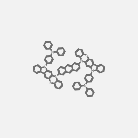 c1ccc(N(c2ccccc2)c2ccc(-n3c4ccccc4c4cc5c(cc43)N(c3ccc4cc6cc(N7c8ccccc8Sc8cc9c%10ccccc%10n(-c%10ccc(N(c%11ccccc%11)c%11ccccc%11)cc%10)c9cc87)ccc6cc4c3)c3ccccc3S5)cc2)cc1